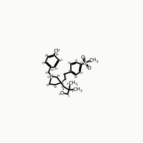 CC1(C)CO[C@@H]1[C@]1(CCc2ccc(S(C)(=O)=O)cc2)CCN(Cc2ccc(Cl)cc2)C1